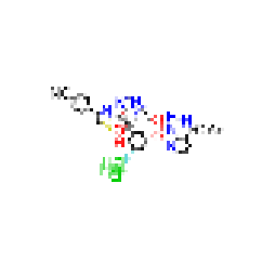 CC(=O)OC(c1cccnc1NC(=O)OCC[N+]1(C[C@](O)(c2cccc(F)c2)[C@@H](C)c2nc(-c3ccc(C#N)cc3)cs2)C=NC=N1)N(C)C.Cl.Cl.[Cl-]